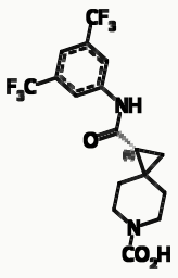 O=C(Nc1cc(C(F)(F)F)cc(C(F)(F)F)c1)[C@@H]1CC12CCN(C(=O)O)CC2